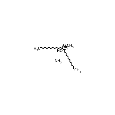 CCCCCCCCCCCCC(OC(C)=O)C(O)(O)CCCCCCCCCCCC.N